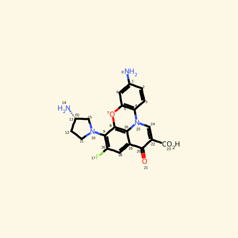 Nc1ccc2c(c1)Oc1c(N3CC[C@H](N)C3)c(F)cc3c(=O)c(C(=O)O)cn-2c13